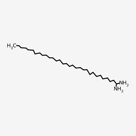 CCCCCCCCCCCCCCCCCCCCCCCCCCCCCCC(N)N